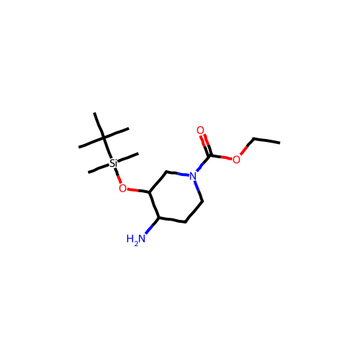 CCOC(=O)N1CCC(N)C(O[Si](C)(C)C(C)(C)C)C1